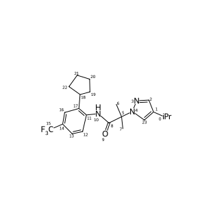 CC(C)c1cnn(C(C)(C)C(=O)Nc2ccc(C(F)(F)F)cc2C2CCCC2)c1